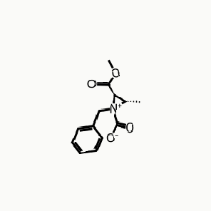 COC(=O)[C@H]1[C@H](C)[N+]1(Cc1ccccc1)C(=O)[O-]